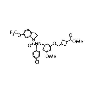 COC(=O)C1CC(COc2cc(NC(C(=O)N3CCc4ccc(OC(F)(F)F)cc43)c3ccc(Cl)cc3)cc(OC)c2)C1